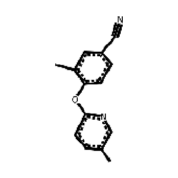 Cc1ccc(Oc2ccc(C#N)cc2C)nc1